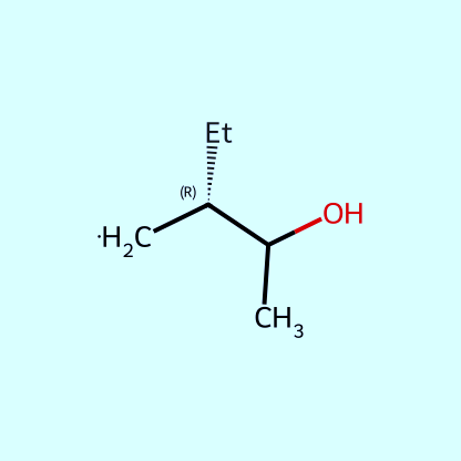 [CH2][C@H](CC)C(C)O